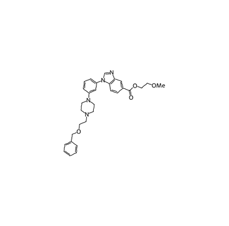 COCCOC(=O)c1ccc2c(c1)ncn2-c1cccc(N2CCN(CCOCc3ccccc3)CC2)c1